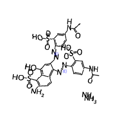 CC(=O)Nc1ccc(/N=N/c2cc(O)c3c(S(=O)(=O)O)c(N)ccc3c2/N=N/c2ccc(NC(C)=O)cc2S(=O)(=O)O)c(S(=O)(=O)O)c1.N.N